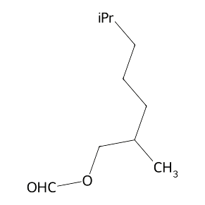 CC(C)CCCC(C)COC=O